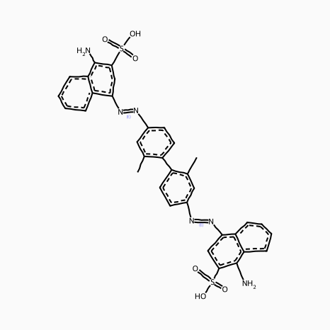 Cc1cc(/N=N/c2cc(S(=O)(=O)O)c(N)c3ccccc23)ccc1-c1ccc(/N=N/c2cc(S(=O)(=O)O)c(N)c3ccccc23)cc1C